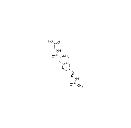 CC(=O)N/N=C/c1ccc(CC(N)C(=O)NCC(=O)O)cc1